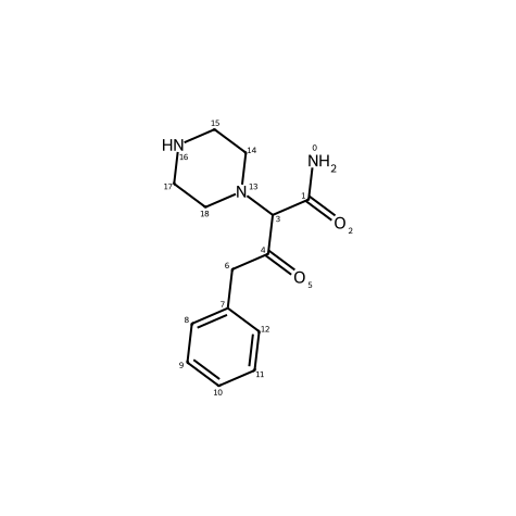 NC(=O)C(C(=O)Cc1ccccc1)N1CCNCC1